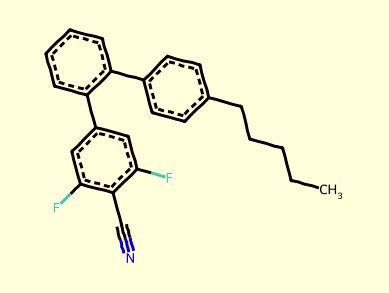 CCCCCc1ccc(-c2ccccc2-c2cc(F)c(C#N)c(F)c2)cc1